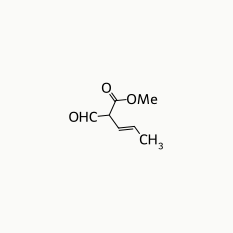 CC=CC(C=O)C(=O)OC